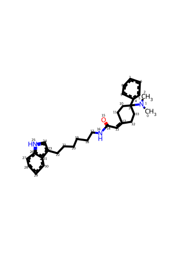 CN(C)C1(c2ccccc2)CCC(=CC(=O)NCCCCCCc2c[nH]c3ccccc23)CC1